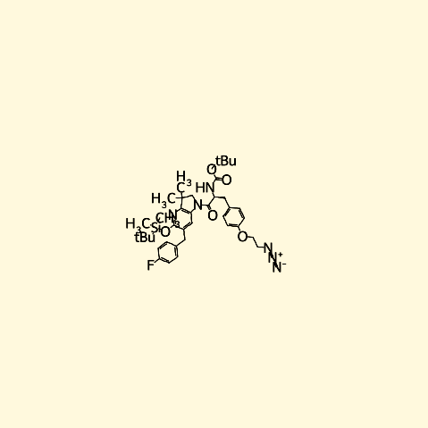 CC(C)(C)OC(=O)N[C@@H](Cc1ccc(OCCN=[N+]=[N-])cc1)C(=O)N1CC(C)(C)c2nc(O[Si](C)(C)C(C)(C)C)c(Cc3ccc(F)cc3)cc21